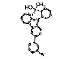 CC(C)(O)c1ccccc1-n1c2ccccc2c2cc(-c3cccc(Br)c3)ccc21